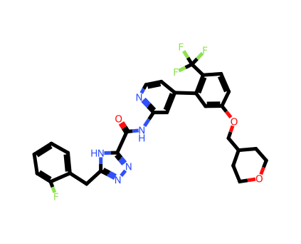 O=C(Nc1cc(-c2cc(OCC3CCOCC3)ccc2C(F)(F)F)ccn1)c1nnc(Cc2ccccc2F)[nH]1